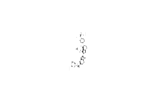 Cc1c(-c2cc3ccc(-c4ccc(C(N)=O)c(F)c4)nc3n2CC2CC2)oc2cc(C(=O)N3C[C@H](C)C[C@@H](F)C3)ccc12